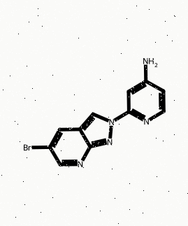 Nc1ccnc(-n2cc3cc(Br)cnc3n2)c1